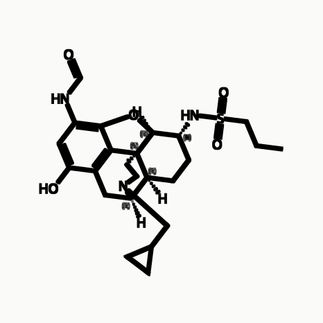 CCCS(=O)(=O)N[C@@H]1CC[C@H]2[C@H]3Cc4c(O)cc(NC=O)c5c4[C@@]2(CCN3CC2CC2)[C@H]1O5